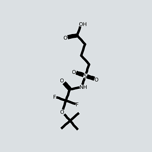 CC(C)(C)OC(F)(F)C(=O)NS(=O)(=O)CCCC(=O)O